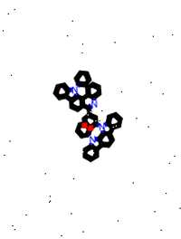 c1ccc(-n2c3ccccc3c3ccc4c(-c5cccc(-n6c7ccccc7c7ccc8c9ccccc9n(-c9ccccc9)c8c76)c5)nc5ccccc5c4c32)cc1